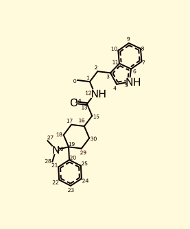 CC(Cc1c[nH]c2ccccc12)NC(=O)CC1CCC(c2ccccc2)(N(C)C)CC1